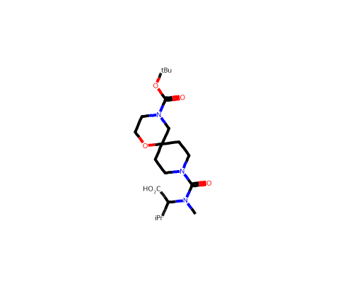 CC(C)C(C(=O)O)N(C)C(=O)N1CCC2(CC1)CN(C(=O)OC(C)(C)C)CCO2